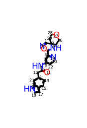 N#CC1(NC(=O)c2cc(NC(=O)Cc3ccc4cc[nH]c4c3)ccn2)CCOCC1